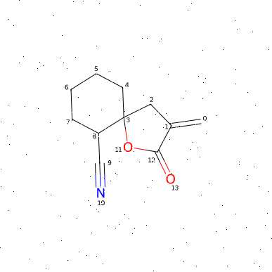 C=C1CC2(CCCCC2C#N)OC1=O